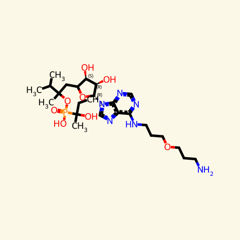 CCC(C)(O)P(=O)(O)OC(C)(CC1O[C@@H](n2cnc3c(NCCCOCCCN)ncnc32)[C@H](O)[C@@H]1O)C(C)C